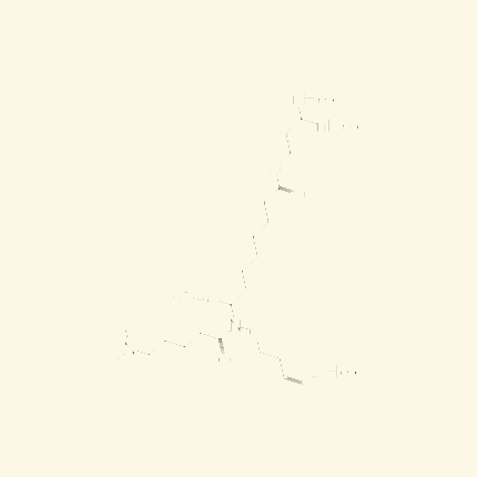 CCCCCC/C=C\CCON(C(=O)CCCCN(C)C)C(CCCCCCCCCC)CCCCCCC(=O)OCCC(CCCCCC)CCCCCC